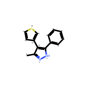 Cc1n[nH]c(-c2ccccc2)c1-c1ccsc1